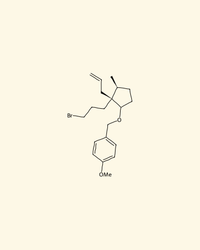 C=CC[C@]1(CCCBr)C(OCc2ccc(OC)cc2)CC[C@@H]1C